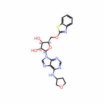 O[C@@H]1[C@H](O)[C@H](n2cnc3c(NC4CCOC4)ncnc32)O[C@@H]1COc1nc2ccccc2s1